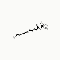 CC(C)(C)OC(=O)COCCOCCOCCN